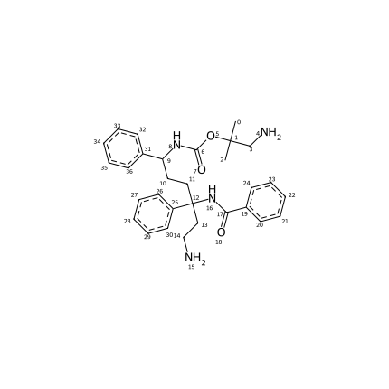 CC(C)(CN)OC(=O)NC(CCC(CCN)(NC(=O)c1ccccc1)c1ccccc1)c1ccccc1